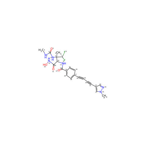 CNC(=O)NC(C)(C(F)F)C(NC(=O)c1ccc(C#CC#Cc2cnn(C)c2)cc1)C(=O)NO